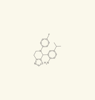 CC(C)c1ccc(N)c(C2c3scnc3CCN2c2ccc(F)cc2)c1